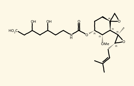 CO[C@@H]1[C@H](OC(=O)NCCC(O)CC(O)CC(=O)O)CC[C@]2(CO2)[C@H]1[C@@]1(C)O[C@@H]1CC=C(C)C